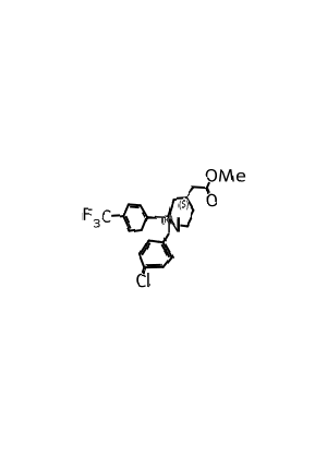 COC(=O)C[C@H]1CCN(c2ccc(Cl)cc2)[C@@H](C2C=CC(C(F)(F)F)=CC2)C1